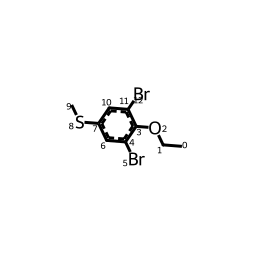 CCOc1c(Br)cc(SC)cc1Br